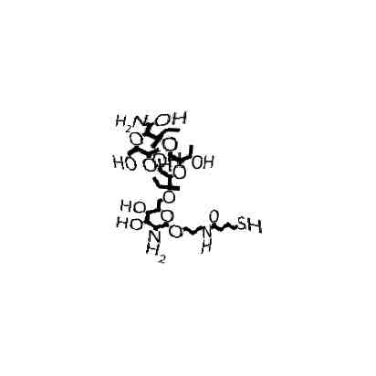 CCC(C)(OCC1OC(OCCCNC(=O)CCCS)C(N)C(O)C1O)C(CO)OC(COC(C)(CC)C(OC(CO)C(C)O)C(N)O)C(C)O